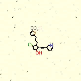 O=C(O)c1ccc(CCCC2[C@@H](C#Cc3cccnc3)C(O)C[C@H]2Cl)s1